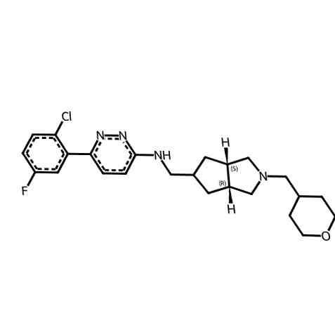 Fc1ccc(Cl)c(-c2ccc(NCC3C[C@@H]4CN(CC5CCOCC5)C[C@@H]4C3)nn2)c1